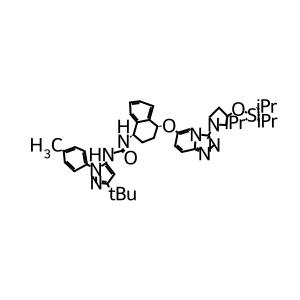 Cc1ccc(-n2nc(C(C)(C)C)cc2NC(=O)N[C@H]2CC[C@@H](Oc3ccc4nnc(N5CCC(O[Si](C(C)C)(C(C)C)C(C)C)C5)n4c3)c3ccccc32)cc1